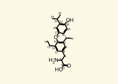 CCc1cc(CC(N)C(=O)O)cc(CC)c1Oc1ccc(O)c(C(C)C)c1